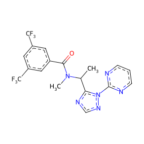 CC(c1ncnn1-c1ncccn1)N(C)C(=O)c1cc(C(F)(F)F)cc(C(F)(F)F)c1